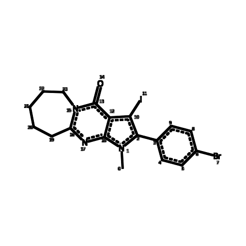 Cn1c(-c2ccc(Br)cc2)c(I)c2c(=O)n3c(nc21)CCCCC3